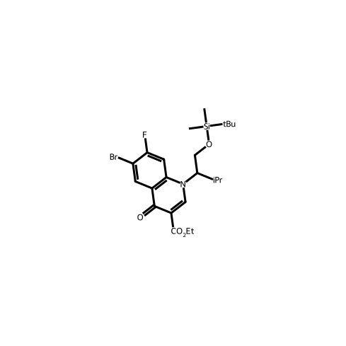 CCOC(=O)c1cn(C(CO[Si](C)(C)C(C)(C)C)C(C)C)c2cc(F)c(Br)cc2c1=O